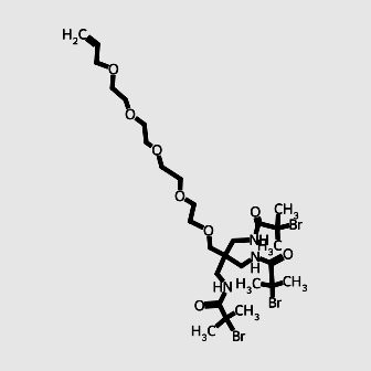 C=CCOCCOCCOCCOCCOCC(CNC(=O)C(C)(C)Br)(CNC(=O)C(C)(C)Br)CNC(=O)C(C)(C)Br